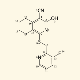 N#Cc1c(O)nc(SCc2ncccc2F)c2c1CCCC2